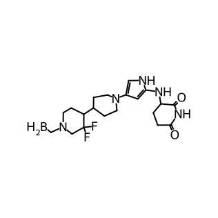 BCN1CCC(C2CCN(c3c[nH]c(NC4CCC(=O)NC4=O)c3)CC2)C(F)(F)C1